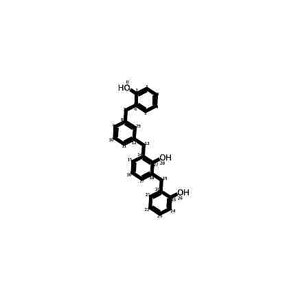 Oc1ccccc1Cc1cccc(Cc2cccc(Cc3ccccc3O)c2O)c1